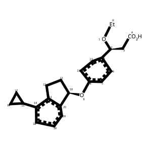 CCO[C@@H](CC(=O)O)c1ccc(O[C@@H]2CCc3c(C4CC4)cccc32)cc1